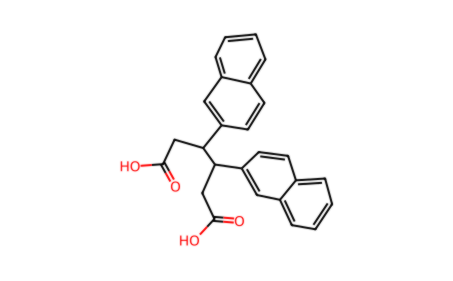 O=C(O)CC(c1ccc2ccccc2c1)C(CC(=O)O)c1ccc2ccccc2c1